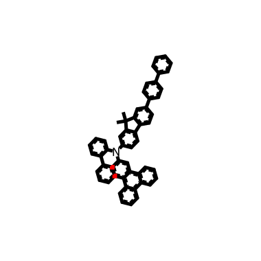 CC1(C)c2cc(-c3ccc(-c4ccccc4)cc3)ccc2-c2ccc(N(c3ccc4c5ccccc5c5ccccc5c4c3)c3ccccc3-c3ccccc3)cc21